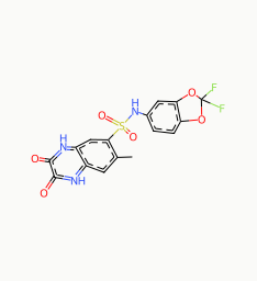 Cc1cc2[nH]c(=O)c(=O)[nH]c2cc1S(=O)(=O)Nc1ccc2c(c1)OC(F)(F)O2